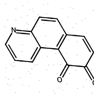 O=C1C=Cc2ccc3ncccc3c2C1=O